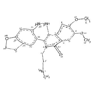 CNCCn1c2c(c3cc(OC)c(OC)cc3c1=O)NNc1cc3c(cc1-2)OCO3